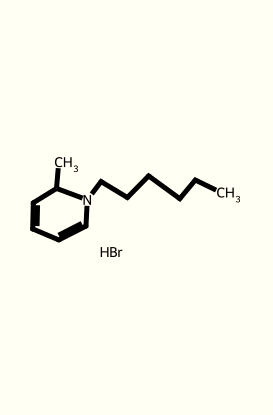 Br.CCCCCCN1C=CC=CC1C